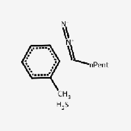 CCCCCC=[N+]=[N-].Cc1ccccc1.S